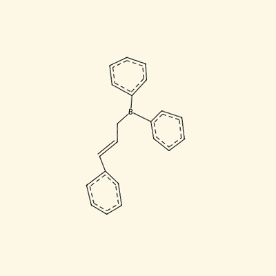 C(=Cc1ccccc1)CB(c1ccccc1)c1ccccc1